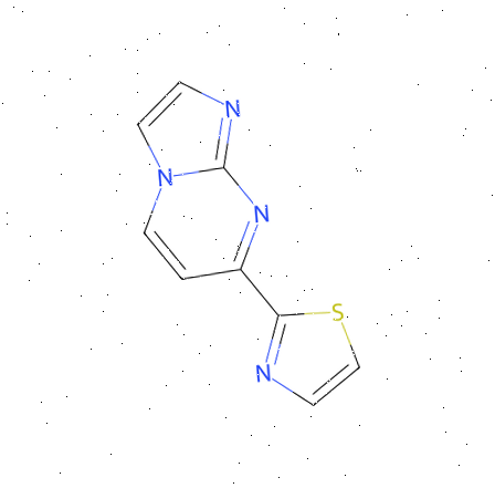 c1csc(-c2ccn3ccnc3n2)n1